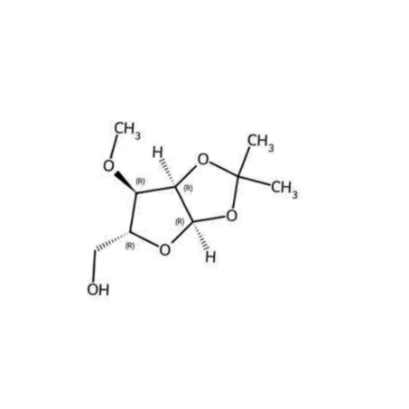 CO[C@H]1[C@H]2OC(C)(C)O[C@H]2O[C@@H]1CO